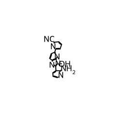 N#Cc1cccc(-c2ccc3nc(-c4cccnc4N)n(O)c3n2)n1